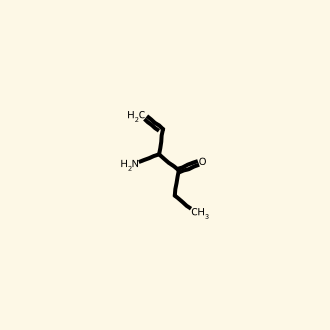 C=CC(N)C(=O)CC